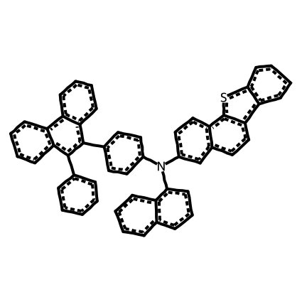 c1ccc(-c2c(-c3ccc(N(c4ccc5c(ccc6c7ccccc7sc56)c4)c4cccc5ccccc45)cc3)c3ccccc3c3ccccc23)cc1